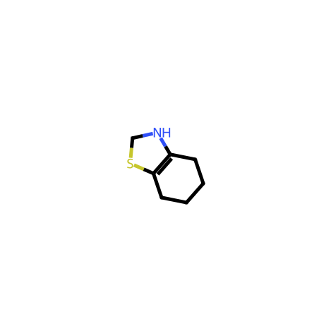 C1CCC2=C(C1)NCS2